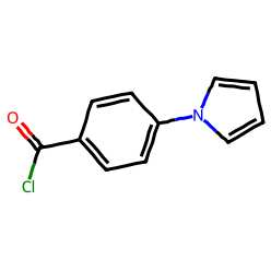 O=C(Cl)c1ccc(-n2cccc2)cc1